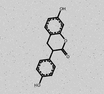 O=C1Oc2cc(O)ccc2CC1c1ccc(O)cc1